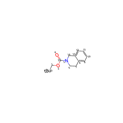 CC(C)(C)COC(=O)N1CCc2ccccc2C1